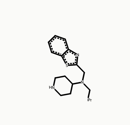 CC(C)CN(Cc1nc2ccccc2s1)C1CCNCC1